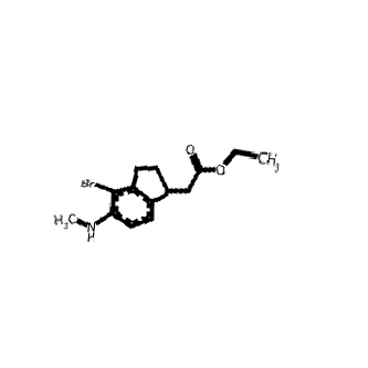 CCOC(=O)CC1CCc2c1ccc(NC)c2Br